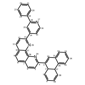 C1=CC2C(c3ccc4ccc5ccc(-c6ccnc(-c7ccccc7)c6)nc5c4n3)=Cc3ccccc3C2C=C1